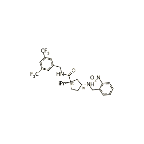 CC(C)[C@]1(C(=O)NCc2cc(C(F)(F)F)cc(C(F)(F)F)c2)CC[C@@H](NCc2ccccc2[N+](=O)[O-])C1